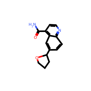 NC(=O)c1ccnc2ccc(C3CCCO3)cc12